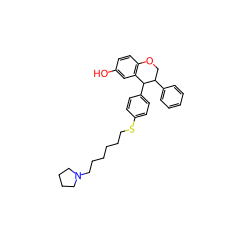 Oc1ccc2c(c1)C(c1ccc(SCCCCCCN3CCCC3)cc1)C(c1ccccc1)CO2